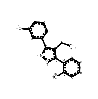 CCc1c(-c2cccc(O)c2)noc1-c1ccccc1O